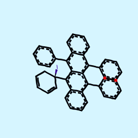 I[C@@]1(c2c3ccccc3c(-c3ccccc3)c3c(-c4ccccc4)c4ccccc4c(-c4ccccc4)c23)C=CC=CC1